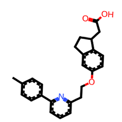 Cc1ccc(-c2cccc(CCOc3ccc4c(c3)CCC4CC(=O)O)n2)cc1